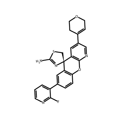 NC1=N[C@@]2(CS1)c1cc(-c3cccnc3F)ccc1Oc1ncc(C3=CCOCC3)cc12